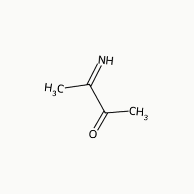 CC(=N)C(C)=O